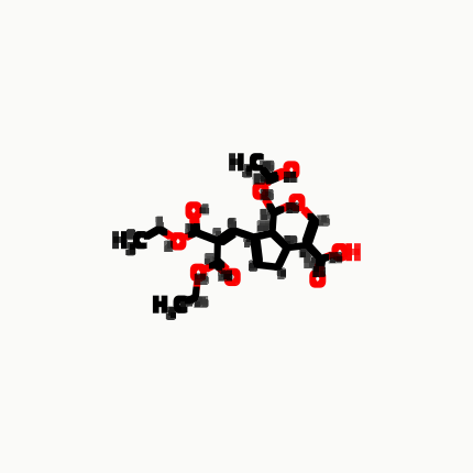 CCOC(=O)C(=CC1=CCC2C(C(=O)O)=COC(OC(C)=O)C12)C(=O)OCC